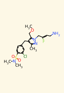 COCc1c(Cc2ccc(S(=O)(=O)N(C)C)c(Cl)c2)c(C)nn1CC(F)=CCN